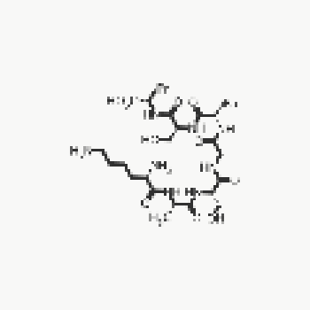 CC[C@H](C)[C@H](NC(=O)CNC(=O)[C@H](CO)NC(=O)[C@H](C)NC(=O)[C@@H](N)CCCCN)C(=O)N[C@@H](CO)C(=O)N[C@H](C(=O)O)C(C)C